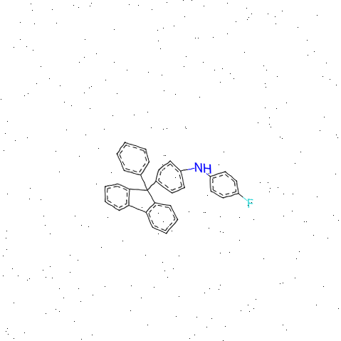 Fc1ccc(Nc2ccc(C3(c4ccccc4)c4ccccc4-c4ccccc43)cc2)cc1